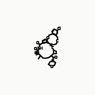 CC1CCCC(C(=O)N2CCOCC2)C2CCC2CN2CCCCc3cc(Cl)ccc3COc3ccc(cc32)C(=O)NS(=O)(=O)C1C